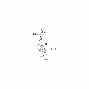 C=C(C)C(O)OC[C@H]1C[C@H]2C[C@@H]1[C@H](C(C)(C)O)[C@@H]2C(C)(C)O